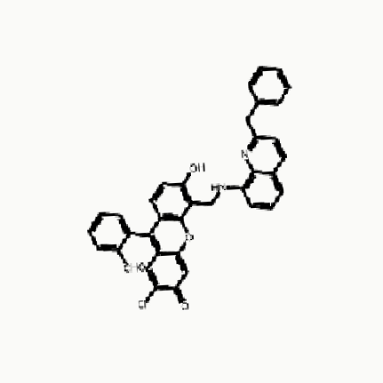 O=Cc1ccccc1-c1c2cc(Cl)c(=O)cc-2oc2c(CNc3cccc4ccc(Cc5ccccc5)nc34)c(O)ccc12